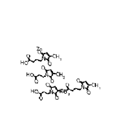 CC1=CC(=O)N(CCC(=O)O)C1=O.CC1=CC(=O)N(CCC(=O)O)C1=O.CC1=CC(=O)N(CCCC(=O)O)C1=O.CC1=CC(=O)N(CCCC(=O)O)C1=O.[Zn]